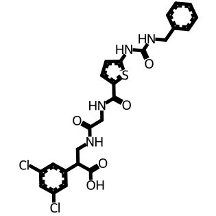 O=C(CNC(=O)c1ccc(NC(=O)NCc2ccccc2)s1)NCC(C(=O)O)c1cc(Cl)cc(Cl)c1